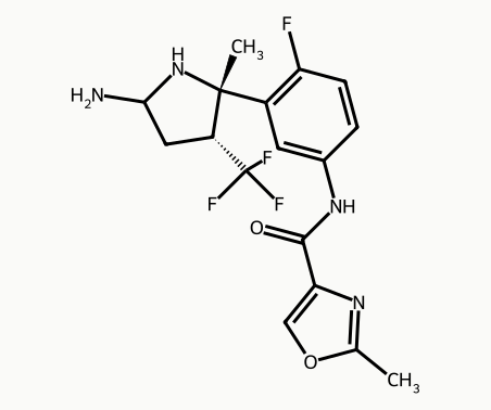 Cc1nc(C(=O)Nc2ccc(F)c([C@@]3(C)NC(N)C[C@H]3C(F)(F)F)c2)co1